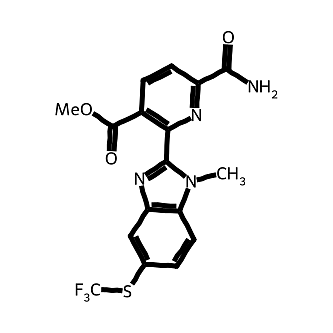 COC(=O)c1ccc(C(N)=O)nc1-c1nc2cc(SC(F)(F)F)ccc2n1C